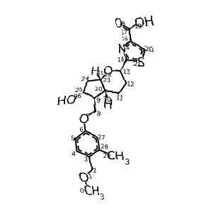 COCc1ccc(OC[C@@H]2[C@H]3CC[C@H](c4nc(C(=O)O)cs4)O[C@H]3C[C@H]2O)cc1C